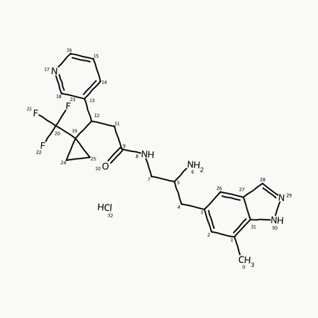 Cc1cc(CC(N)CNC(=O)CC(c2cccnc2)C2(C(F)(F)F)CC2)cc2cn[nH]c12.Cl